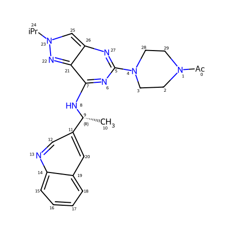 CC(=O)N1CCN(c2nc(N[C@H](C)c3cnc4ccccc4c3)c3nn(C(C)C)cc3n2)CC1